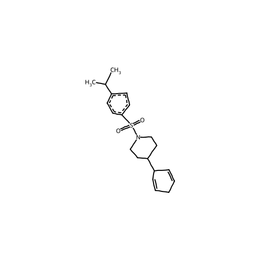 CC(C)c1ccc(S(=O)(=O)N2CCC(C3C=CCC=C3)CC2)cc1